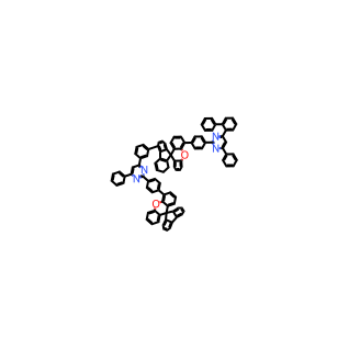 C1=CC2=C(CC1)C1(c3ccccc3Oc3c(-c4ccc(-c5nc(-c6ccccc6)cc(-c6ccccc6-c6ccccc6)n5)cc4)cccc31)c1cccc(-c3cccc(-c4cc(-c5ccccc5)nc(-c5ccc(-c6cccc7c6Oc6ccccc6C76c7ccccc7-c7ccccc76)cc5)n4)c3)c12